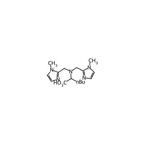 CCCCC(C(=O)O)N(Cc1nccn1C)Cc1nccn1C